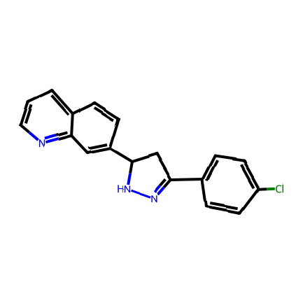 Clc1ccc(C2=NNC(c3ccc4cccnc4c3)C2)cc1